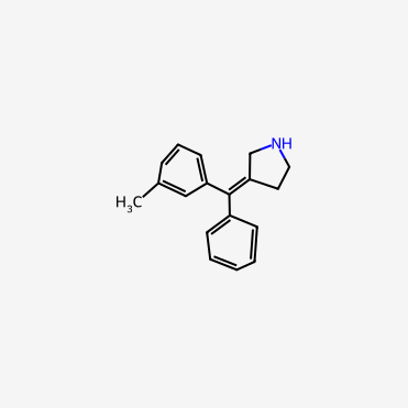 Cc1cccc(/C(=C2/CCNC2)c2ccccc2)c1